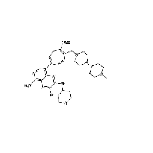 CCc1nc2c(N)ncc(C3=CCC(OC)=C(CN4CCC(N5CCN(C)CC5)CC4)C=C3)c2nc1NC1CCOCC1